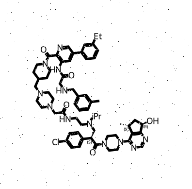 CCc1cccc(-c2cnc(C(=O)N3CCC(CN4CCN(CC(=O)NCCN(C[C@@H](C(=O)N5CCN(c6ncnc7c6[C@H](C)C[C@H]7O)CC5)c5ccc(Cl)cc5)C(C)C)CC4)CC3)c(NC(=O)CNCc3cccc(C)c3)c2)c1